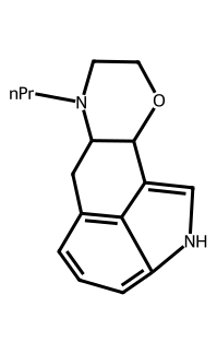 CCCN1CCOC2c3c[nH]c4cccc(c34)CC21